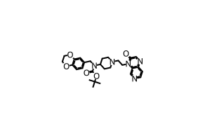 CC(C)(C)OC(=O)N(Cc1ccc2c(c1)OCCO2)C1CCN(CCn2c(=O)cnc3ccncc32)CC1